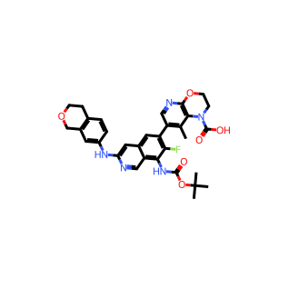 Cc1c(-c2cc3cc(Nc4ccc5c(c4)COCC5)ncc3c(NC(=O)OC(C)(C)C)c2F)cnc2c1N(C(=O)O)CCO2